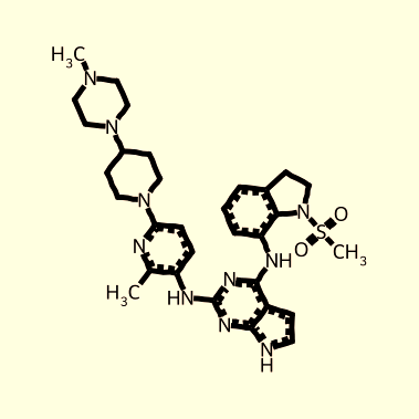 Cc1nc(N2CCC(N3CCN(C)CC3)CC2)ccc1Nc1nc(Nc2cccc3c2N(S(C)(=O)=O)CC3)c2cc[nH]c2n1